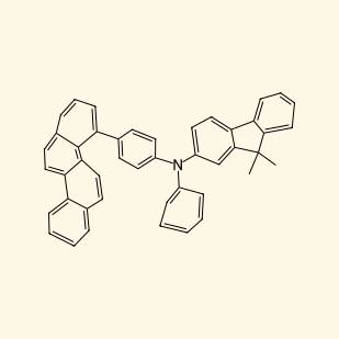 CC1(C)c2ccccc2-c2ccc(N(c3ccccc3)c3ccc(-c4cccc5ccc6c7ccccc7ccc6c45)cc3)cc21